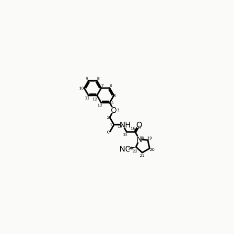 CC(COc1ccc2ccccc2c1)NCC(=O)N1CCC[C@H]1C#N